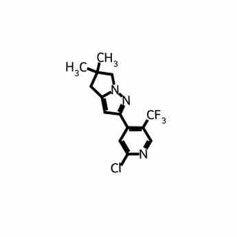 CC1(C)Cc2cc(-c3cc(Cl)ncc3C(F)(F)F)nn2C1